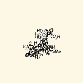 CSCCC(NC(=O)C(CC(C)C)NC(=O)C(Cc1cnc[nH]1)NC(=O)CNC(=O)C(NC(=O)C(C)NC(=O)C(Cc1c[nH]c2ccccc12)NC(=O)C(CCC(N)=O)NC(=O)c1ccc(NC(=O)CNC(=O)CCC2(N(CC(=O)O)CC(=O)O)CN(CC(=O)O)C3CCCC[C@H]3N(CC(=O)O)C2)cc1)C(C)C)C(N)=O